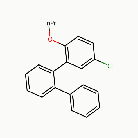 CCCOc1ccc(Cl)cc1-c1ccccc1-c1ccccc1